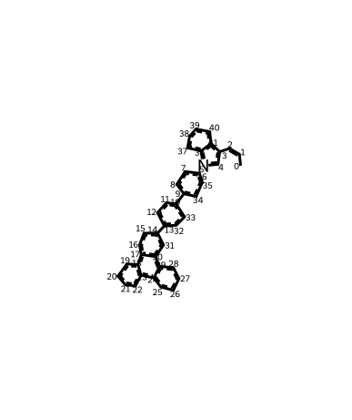 C/C=C\c1cn(-c2ccc(-c3ccc(-c4ccc5c6ccccc6c6ccccc6c5c4)cc3)cc2)c2ccccc12